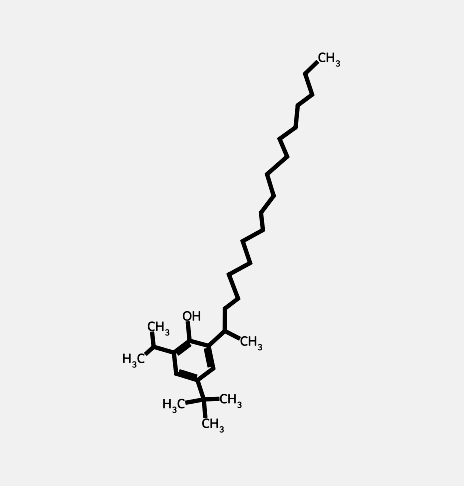 CCCCCCCCCCCCCCCCC(C)c1cc(C(C)(C)C)cc(C(C)C)c1O